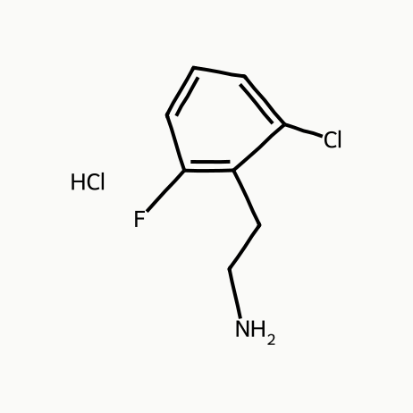 Cl.NCCc1c(F)cccc1Cl